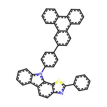 c1ccc(-c2nc3ccc4c5ccccc5n(-c5ccc(-c6ccc7c8ccccc8c8ccccc8c7c6)cc5)c4c3s2)cc1